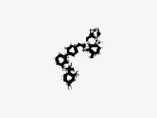 CCCn1cnnc1Cn1c(Cc2ccc(-c3cccc4c3OC(C)(c3ccc(Cl)cc3F)O4)cc2)nc2c(C)cccc21